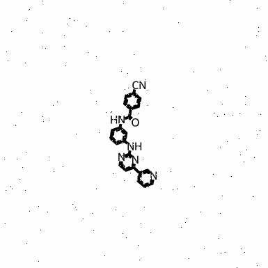 N#Cc1ccc(C(=O)Nc2cccc(Nc3nccc(-c4cccnc4)n3)c2)cc1